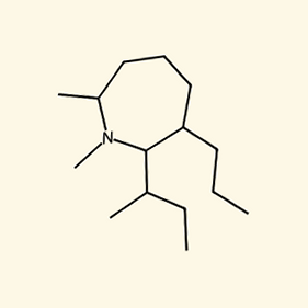 CCCC1CCCC(C)N(C)C1C(C)CC